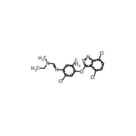 CCN(C)C=Nc1cc(C)c(Oc2snc3c(Cl)ccc(Cl)c23)cc1Cl